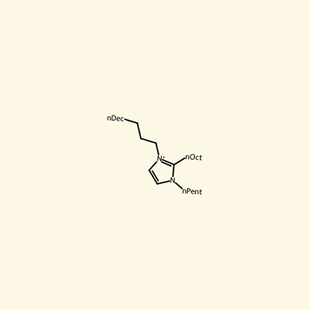 CCCCCCCCCCCCC[n+]1ccn(CCCCC)c1CCCCCCCC